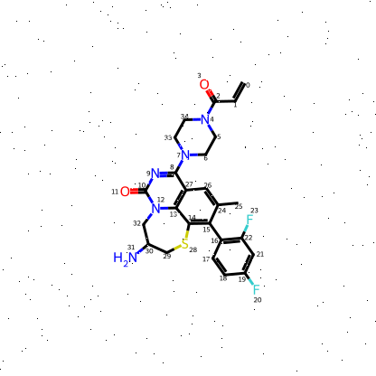 C=CC(=O)N1CCN(c2nc(=O)n3c4c(c(-c5ccc(F)cc5F)c(C)cc24)SCC(N)C3)CC1